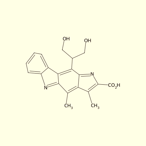 CC1=C(C(=O)O)N=c2c1c(C)c1c(c2C(CO)CO)-c2ccccc2N=1